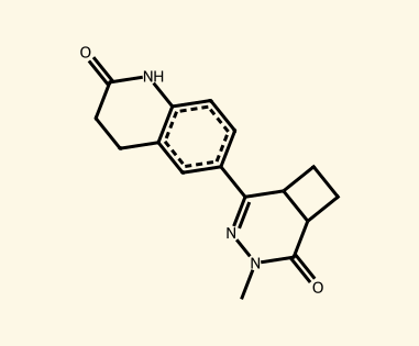 CN1N=C(c2ccc3c(c2)CCC(=O)N3)C2CCC2C1=O